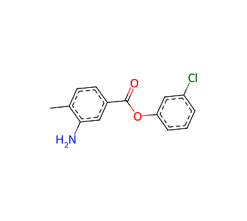 Cc1ccc(C(=O)Oc2cccc(Cl)c2)cc1N